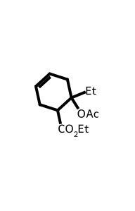 CCOC(=O)C1CC=CCC1(CC)OC(C)=O